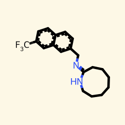 FC(F)(F)c1ccc2ccc(CN=C3CCCCCCCN3)cc2c1